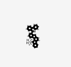 CC1(C)c2ccccc2-c2ccc3c(c21)-c1cccc(-c2nc4ccccc4c4ccccc24)c1C3